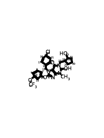 CN1c2nc(Oc3cccc(OC(F)(F)F)c3)n(Cc3ccc(Cl)cc3)c2C(=O)N(CC2CCCC2O)C1O